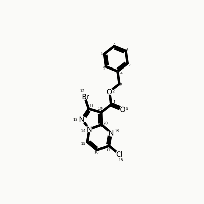 O=C(OCc1ccccc1)c1c(Br)nn2ccc(Cl)nc12